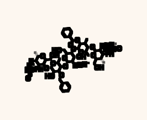 CC1O[C@@H](O[C@@H]2C(CO)O[C@@H](O[C@@H]3C(C)O[C@@H](O[C@@H]4C(CO)O[C@@H](C)C(N=[N+]=[N-])[C@H]4PBB=O)C(O)[C@@H]3OCc3ccccc3)C(N=[N+]=[N-])[C@H]2O)C(OC(=O)c2ccccc2)[C@@H](C)[C@@H]1O[C@@H]1OC(CO)[C@@H](C)[C@H](PBB=O)C1N=[N+]=[N-]